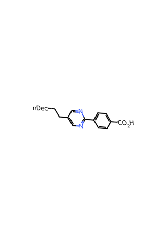 CCCCCCCCCCCCc1cnc(-c2ccc(C(=O)O)cc2)nc1